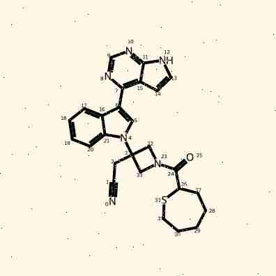 N#CCC1(n2cc(-c3ncnc4[nH]ccc34)c3ccccc32)CN(C(=O)C2CCCCCS2)C1